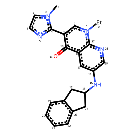 CCn1cc(-c2nccn2C)c(=O)c2cc(NC3Cc4ccccc4C3)cnc21